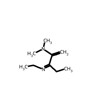 C=C(/C(CC)=N\CC)N(C)C